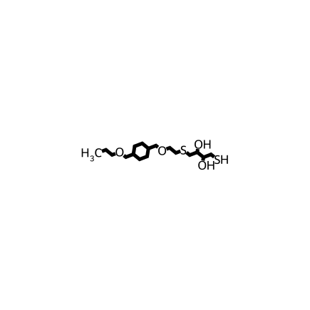 CCCOCC1CCC(COCCSCC(O)C(O)CS)CC1